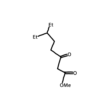 CCC(CC)CCC(=O)CC(=O)OC